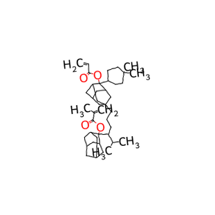 C=CC(=O)OC1(C2CCC(C)(C)CC2)C2CC3CC1CC(CCCC(C(C)C)C1(OC(=O)C(=C)C)C4CC5CC(C4)CC1C5)(C3)C2